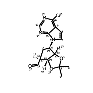 CC1(C)O[C@H]2[C@H](n3ccc4c(Cl)ncnc43)C[C@](C)(C=O)[C@H]2O1